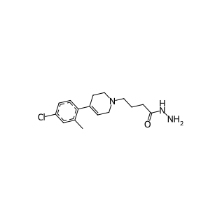 Cc1cc(Cl)ccc1C1=CCN(CCCC(=O)NN)CC1